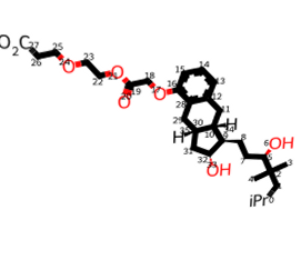 CC(C)CC(C)(C)[C@H](O)CC[C@@H]1[C@H]2Cc3cccc(OCC(=O)OCCOCCC(=O)O)c3C[C@H]2C[C@H]1O